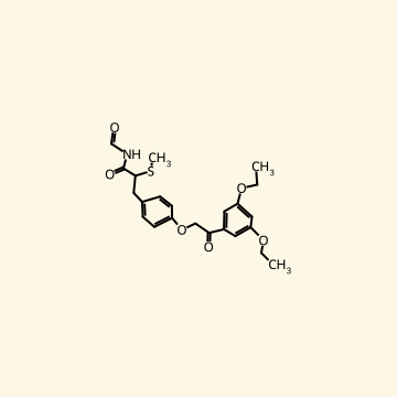 CCOc1cc(OCC)cc(C(=O)COc2ccc(CC(SC)C(=O)NC=O)cc2)c1